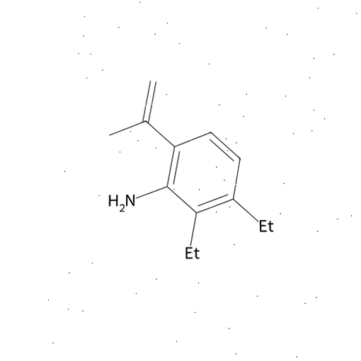 C=C(C)c1ccc(CC)c(CC)c1N